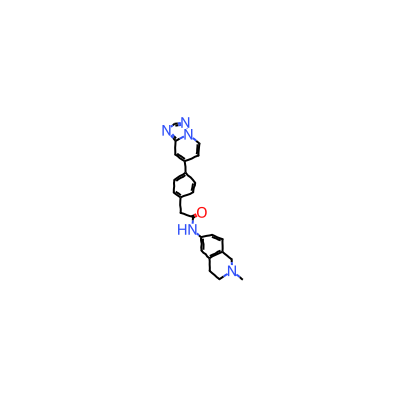 CN1CCc2cc(NC(=O)Cc3ccc(-c4ccn5ncnc5c4)cc3)ccc2C1